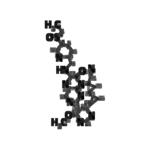 CC[S+]([O-])c1ccc(CNc2nc3cnc(-c4c(OC)ncnc4C4CC4)nc3n(C3(C#N)CC3)c2=O)nc1